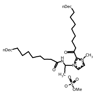 CCCCCCCCCCCCCCCCCC(=O)NC(C)[n+]1ccn(C)c1C(=O)CCCCCCCCCCCCCCCCC.COS(=O)(=O)[O-]